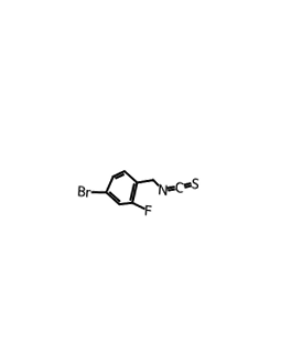 Fc1cc(Br)ccc1CN=C=S